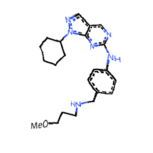 COCCCNCc1ccc(Nc2ncc3cnn(C4CCCCC4)c3n2)cc1